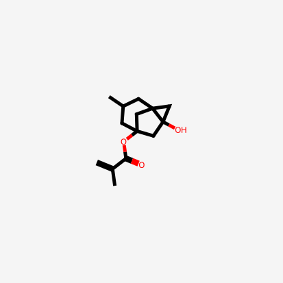 C=C(C)C(=O)OC12CC(C)CC3(C1)CC3(O)C2